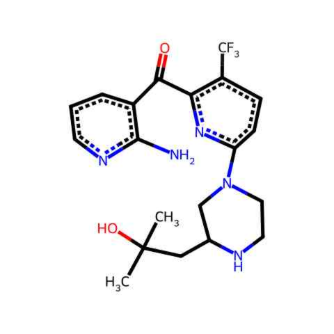 CC(C)(O)CC1CN(c2ccc(C(F)(F)F)c(C(=O)c3cccnc3N)n2)CCN1